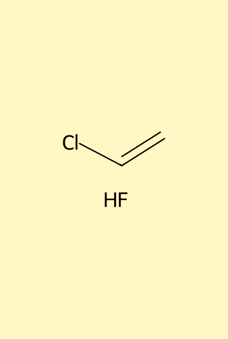 C=CCl.F